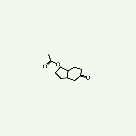 CC(=O)OC1CCC2CC(=O)CCC21